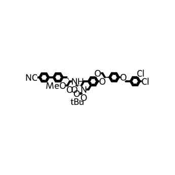 COC(=O)[C@H](Cc1ccc(-c2ccc(C#N)cc2)cc1)NC(=O)[C@@H]1Cc2cc3c(cc2CN1C(=O)OC(C)(C)C)O[C@H](c1ccc(OCc2ccc(Cl)c(Cl)c2)cc1)CO3